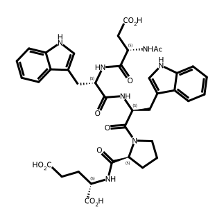 CC(=O)N[C@@H](CC(=O)O)C(=O)N[C@@H](Cc1c[nH]c2ccccc12)C(=O)N[C@@H](Cc1c[nH]c2ccccc12)C(=O)N1CCC[C@H]1C(=O)N[C@@H](CCC(=O)O)C(=O)O